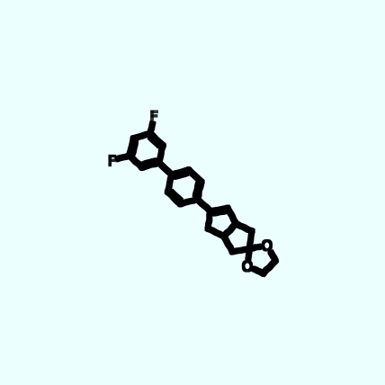 Fc1cc(F)cc(-c2ccc(C3=CC4CC5(CC4C3)OCCO5)cc2)c1